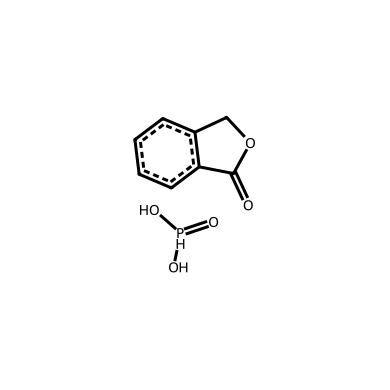 O=C1OCc2ccccc21.O=[PH](O)O